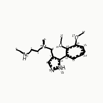 CNCCN(C)Cc1cn[nH]c1-c1cccc(OC)c1OC